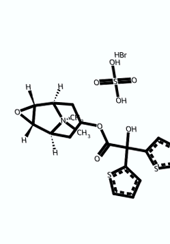 Br.C[N+]1(C)[C@@H]2CC(OC(=O)C(O)(c3cccs3)c3cccs3)C[C@H]1[C@@H]1O[C@@H]12.O=S(=O)(O)O